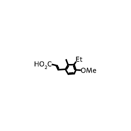 CCc1c(OC)ccc(C=CC(=O)O)c1C